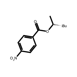 CC[C@@H](C)C(C)OC(=O)c1ccc([N+](=O)[O-])cc1